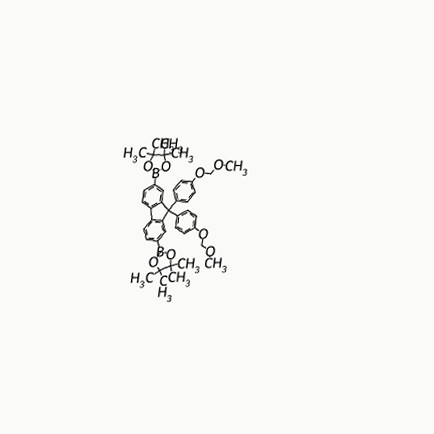 COCOc1ccc(C2(c3ccc(OCOC)cc3)c3cc(B4OC(C)(C)C(C)(C)O4)ccc3-c3ccc(B4OC(C)(C)C(C)(C)O4)cc32)cc1